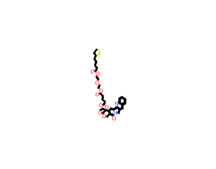 CCC1(OC(=O)CCCC(=O)OCCOCCOC(=O)CCCCC2CCSS2)C(=O)OCc2c1cc1n(c2=O)Cc2cc3ccccc3nc2-1